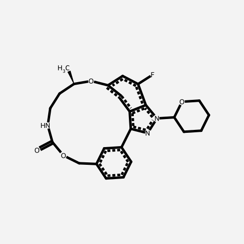 C[C@@H]1CCNC(=O)OCc2cccc(c2)-c2nn(C3CCCCO3)c3c(F)cc(cc23)O1